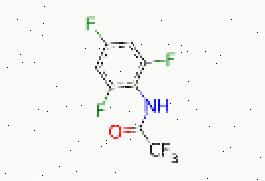 O=C(Nc1c(F)cc(F)cc1F)C(F)(F)F